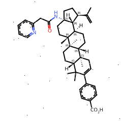 C=C(C)[C@@H]1CC[C@]2(NC(=O)Cc3ccccn3)CC[C@]3(C)[C@H](CC[C@@H]4[C@@]5(C)CC=C(c6ccc(C(=O)O)cc6)C(C)(C)[C@@H]5CC[C@]43C)[C@@H]12